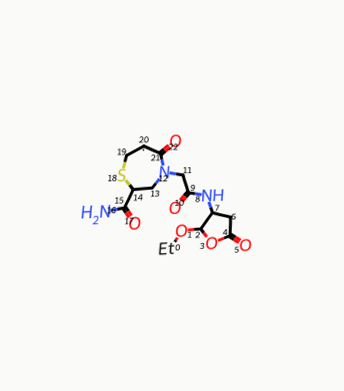 CCOC1OC(=O)CC1NC(=O)CN1CC(C(N)=O)SC[CH]C1=O